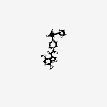 COc1ncc(OC)c2c(C(=O)C(=O)N3CCN(c4c(-c5ncco5)c(=O)c4=O)CC3)c[nH]c12